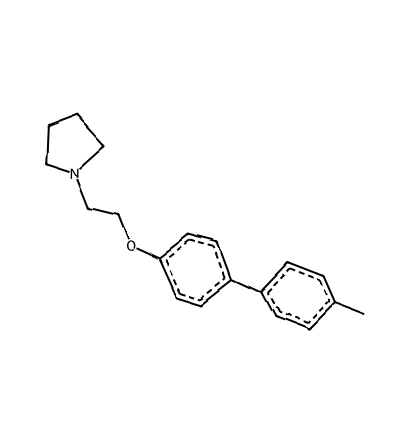 Cc1ccc(-c2ccc(OCCN3CCCC3)cc2)cc1